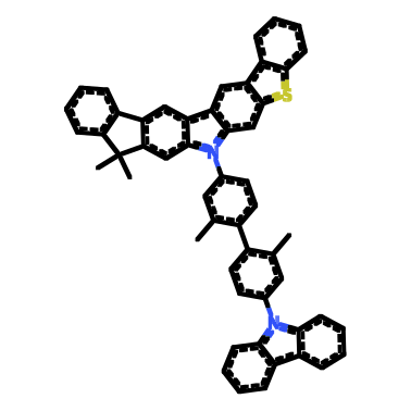 Cc1cc(-n2c3ccccc3c3ccccc32)ccc1-c1ccc(-n2c3cc4c(cc3c3cc5c(cc32)sc2ccccc25)-c2ccccc2C4(C)C)cc1C